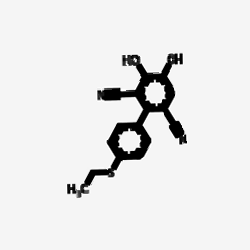 CCSc1ccc(-c2c(C#N)cc(O)c(O)c2C#N)cc1